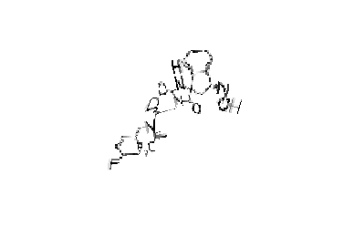 C[C@H](N(Cc1ccc(F)cc1)C(=O)CN1C(=O)NC2(CC(=NO)c3ccccc32)C1=O)C(F)(F)F